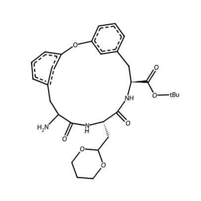 CC(C)(C)OC(=O)[C@@H]1Cc2cccc(c2)Oc2cccc(c2)CC(N)C(=O)N[C@@H](CC2OCCCO2)C(=O)N1